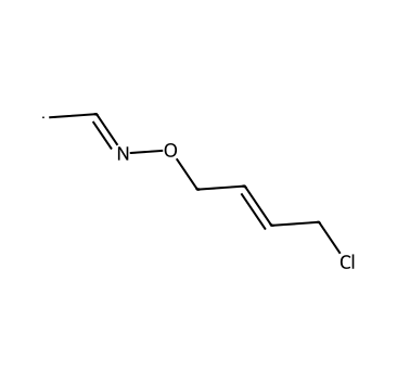 [CH2]C=NOCC=CCCl